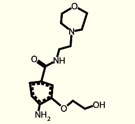 Nc1ccc(C(=O)NCCN2CCOCC2)cc1OCCO